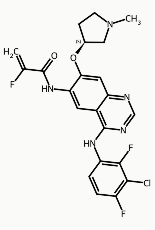 C=C(F)C(=O)Nc1cc2c(Nc3ccc(F)c(Cl)c3F)ncnc2cc1O[C@H]1CCN(C)C1